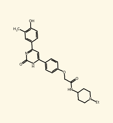 CCN1CCC(NC(=O)COc2ccc(-c3cc(-c4ccc(O)c(C)c4)nc(=O)[nH]3)cc2)CC1